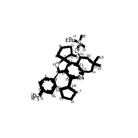 CC(C)c1ccc([C@H]2OC3(CCCC3I)c3c2c(C2CCCC2)nc2c3[C@@H](O[Si](C)(C)C(C)(C)C)CC(C)(C)C2)cc1